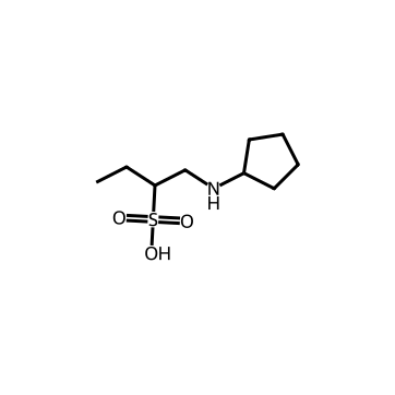 CCC(CNC1CCCC1)S(=O)(=O)O